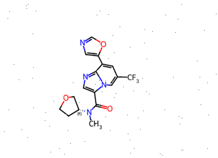 CN(C(=O)c1cnc2c(-c3cnco3)cc(C(F)(F)F)cn12)[C@@H]1CCOC1